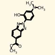 COC(=O)c1ccc2nn(-c3ccc(N(C)C)cc3O)nc2c1